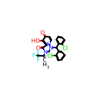 C[C@@H](N1CN(C(c2ccccc2Cl)c2ccccc2Cl)n2ccc(=O)c(O)c2C1=O)C(F)(F)F